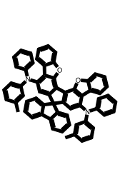 Cc1cccc(N(c2ccccc2)c2cc3c(c4oc5ccccc5c24)-c2c(cc(N(c4ccccc4)c4cccc(C)c4)c4c2oc2ccccc24)C32c3ccccc3-c3ccccc32)c1